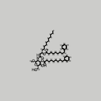 CCCCCCCCCCC[C@H](CC(=O)N[C@H]1[C@H](OC)O[C@H](CO)[C@@H](O)[C@@H]1OC(=O)CCCCCCCCc1ccccc1)OC(=O)CCCCCCCCc1ccccc1